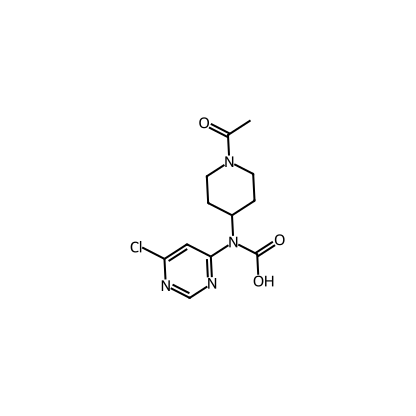 CC(=O)N1CCC(N(C(=O)O)c2cc(Cl)ncn2)CC1